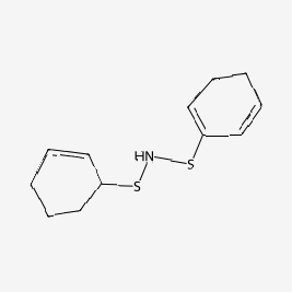 C1=CC(SNSC2C=CCCC2)=CCC1